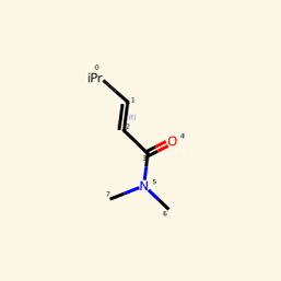 CC(C)/C=C/C(=O)N(C)C